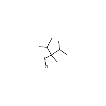 CC(C)C(C)(SCl)C(C)C